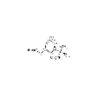 CCCCCCCCc1cccc(C(C)(C)N)c1C.O